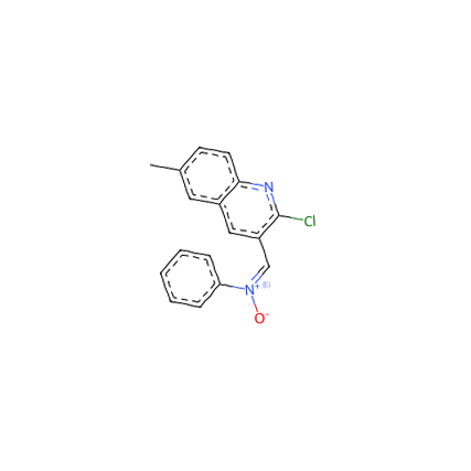 Cc1ccc2nc(Cl)c(/C=[N+](/[O-])c3ccccc3)cc2c1